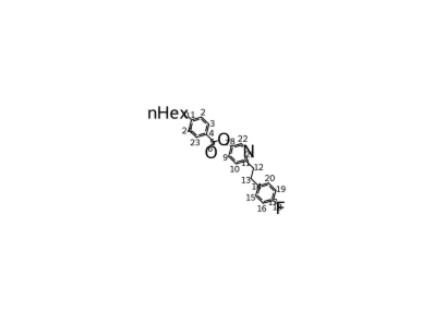 CCCCCCc1ccc(C(=O)Oc2ccc(CCc3ccc(F)cc3)nc2)cc1